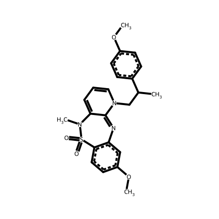 COc1ccc(C(C)CN2C=CC=C3C2=Nc2cc(OC)ccc2S(=O)(=O)N3C)cc1